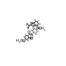 COc1ccc(C(=O)N[C@H]2CC[C@@H](N(C)c3cccc4nc(C(F)F)cn34)CC2)c(Cl)c1